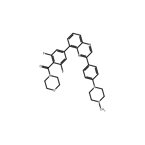 CN1CCN(c2ccc(-c3cnc4cccc(-c5cc(F)c(C(=O)N6CCOCC6)c(F)c5)c4n3)cc2)CC1